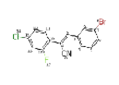 N#C/C(=C\c1cccc(Br)c1)c1ccc(Cl)cc1F